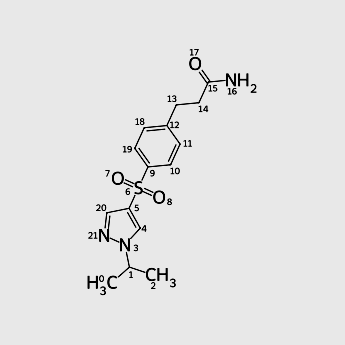 CC(C)n1cc(S(=O)(=O)c2ccc(CCC(N)=O)cc2)cn1